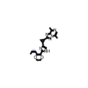 C/C=C\C1=C(c2nc(C3CC3c3nc4c(C)ncc(C)n4n3)c[nH]2)OCCO1